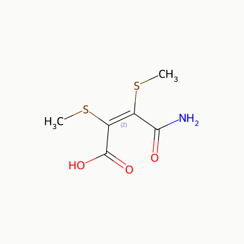 CS/C(C(N)=O)=C(\SC)C(=O)O